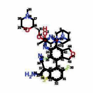 CC(O)CN1CC2CC(C1)N2c1nc(OC[C@H]2CN(C)CCO2)nc2c(F)c(-c3c(F)ccc4sc(N)c(C#N)c34)c3c(c12)COC3